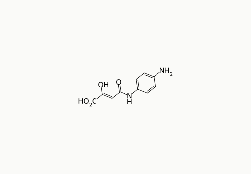 Nc1ccc(NC(=O)/C=C(\O)C(=O)O)cc1